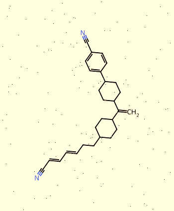 C=C(C1CCC(CCC=CC=CC#N)CC1)C1CCC(c2ccc(C#N)cc2)CC1